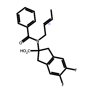 C/C=C/CN(C(=O)c1ccccc1)C1(C(=O)O)Cc2cc(F)c(F)cc2C1